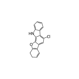 Clc1cc2c3c(oc2c2[nH]c4ccccc4c12)CCC=C3